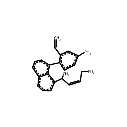 C=Cc1cc(P)ccc1-c1cccc2cccc(C(C)/C=C\CP)c12